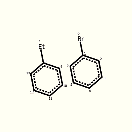 Brc1ccccc1.CCc1ccccc1